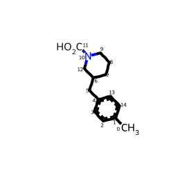 Cc1ccc(CC2CCCN(C(=O)O)C2)cc1